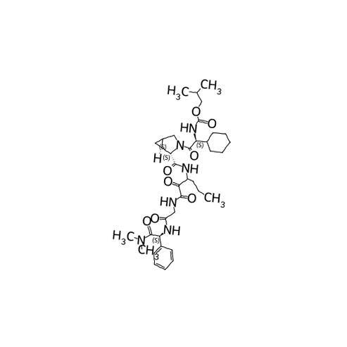 CCCC(NC(=O)[C@@H]1[C@H]2CC2CN1C(=O)[C@@H](NC(=O)OCC(C)C)C1CCCCC1)C(=O)C(=O)NCC(=O)N[C@H](C(=O)N(C)C)c1ccccc1